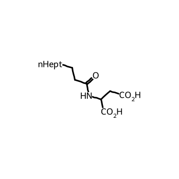 CCCCCCCCCC(=O)NC(CC(=O)O)C(=O)O